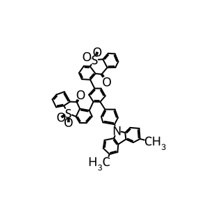 Cc1ccc2c(c1)c1cc(C)ccc1n2-c1ccc(-c2ccc(-c3cccc4c3C(=O)c3ccccc3S4(=O)=O)cc2-c2cccc3c2C(=O)c2ccccc2S3(=O)=O)cc1